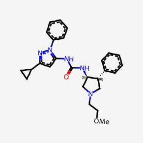 COCCN1C[C@@H](NC(=O)Nc2cc(C3CC3)nn2-c2ccccc2)[C@H](c2ccccc2)C1